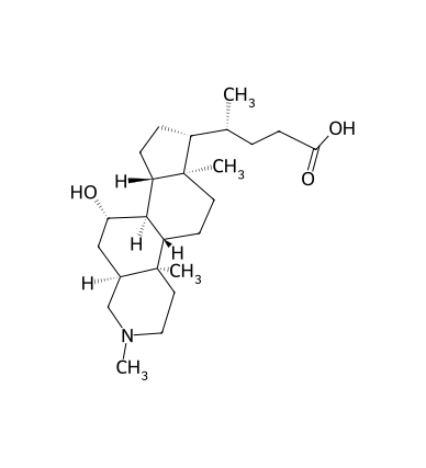 C[C@H](CCC(=O)O)[C@H]1CC[C@H]2[C@@H]3[C@@H](O)C[C@@H]4CN(C)CC[C@]4(C)[C@H]3CC[C@]12C